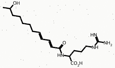 CC(O)CCCCC/C=C/C=C/C(=O)NC(CCCNC(=N)N)C(=O)O